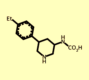 CCc1ccc(C2CNCC(NC(=O)O)C2)cc1